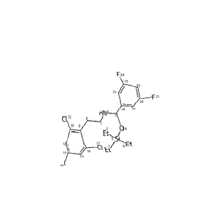 CC[Si](CC)(CC)OC(NCCc1c(Cl)cc(I)cc1Cl)c1cc(F)cc(F)c1